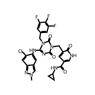 Cn1cc2cc(Nc3nc(=O)n(Cc4cc(C(=O)NC5CC5)c[nH]c4=O)c(=O)n3Cc3cc(F)c(F)c(F)c3)c(Cl)cc2n1